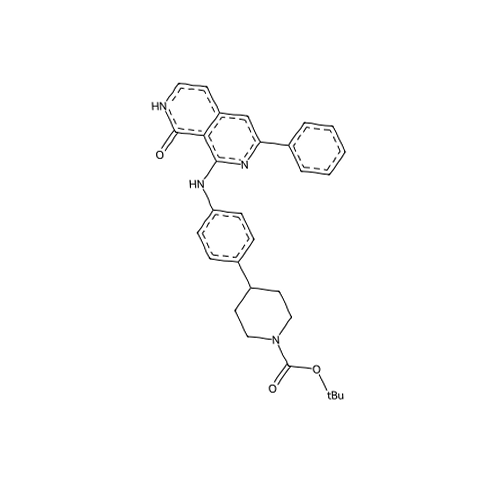 CC(C)(C)OC(=O)N1CCC(c2ccc(Nc3nc(-c4ccccc4)cc4cc[nH]c(=O)c34)cc2)CC1